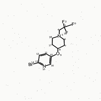 FC(F)(F)CN1CCC(Oc2ccc(Br)nc2)CC1